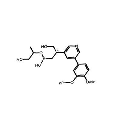 CCCOc1cc(-c2cncc([C@H](CO)CB(O)OC(C)CO)c2)ccc1OC